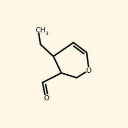 CCC1C=COCC1C=O